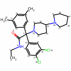 CCNC(=O)C(c1cc(C)cc(C)c1)(c1ccc(Cl)c(Cl)c1)N1CCC(N2CCCCC2)CC1